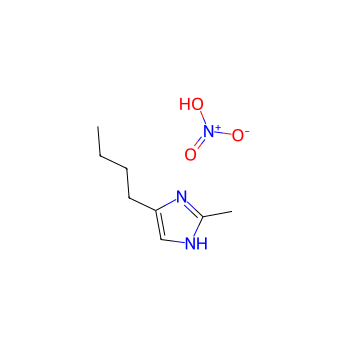 CCCCc1c[nH]c(C)n1.O=[N+]([O-])O